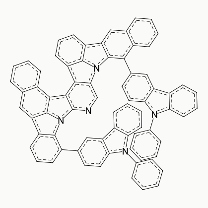 c1ccc(-n2c3ccccc3c3cc(-c4c5ccccc5cc5c6cccc7c8c9c%10c%11ccccc%11cc%11c%12cccc(-c%13ccc%14c(c%13)c%13ccccc%13n%14-c%13ccccc%13)c%12n(c9ncc8n(c45)c67)c%11%10)ccc32)cc1